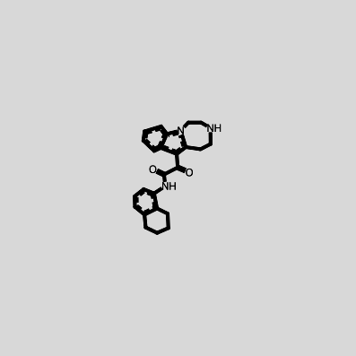 O=C(Nc1cccc2c1CCCC2)C(=O)c1c2n(c3ccccc13)CCNCC2